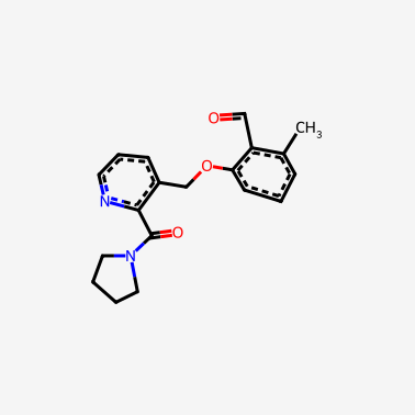 Cc1cccc(OCc2cccnc2C(=O)N2CCCC2)c1C=O